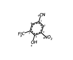 N#Cc1cc([N+](=O)[O-])c(O)c(C(F)(F)F)c1